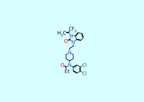 C=C(n1c(=O)n(CCN2CCC(N(C(=O)CC)c3ccc(Cl)c(Cl)c3)CC2)c2ccccc21)C(F)(F)F